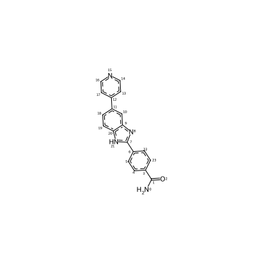 NC(=O)c1ccc(-c2nc3cc(-c4ccncc4)ccc3[nH]2)cc1